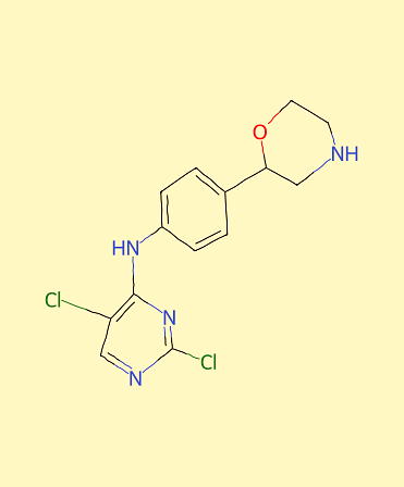 Clc1ncc(Cl)c(Nc2ccc(C3CNCCO3)cc2)n1